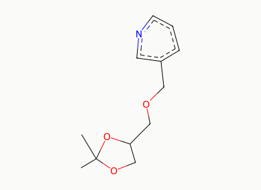 CC1(C)OCC(COCc2cccnc2)O1